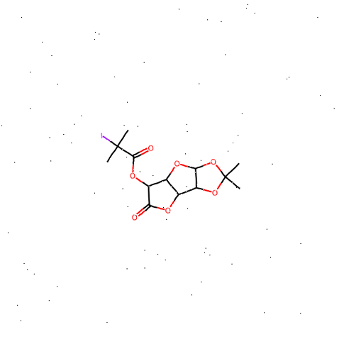 CC1(C)OC2OC3C(OC(=O)C(C)(C)I)C(=O)OC3C2O1